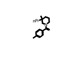 C=C(c1ccc(C)cc1)N1CCCC(C)(CCC)C1